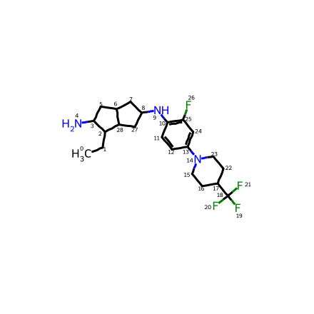 CCC1C(N)CC2CC(Nc3ccc(N4CCC(C(F)(F)F)CC4)cc3F)CC21